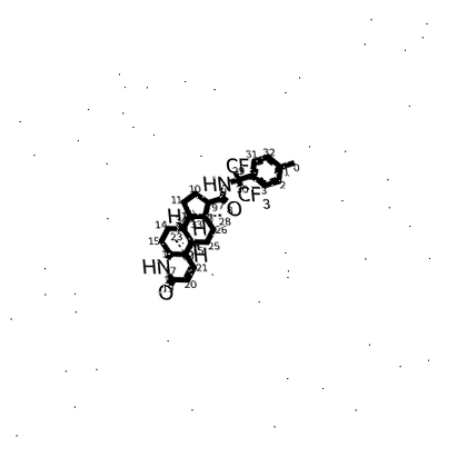 Cc1ccc(C(NC(=O)C2CC[C@H]3[C@@H]4CCC5NC(=O)C=C[C@]5(C)[C@@H]4CC[C@]23C)(C(F)(F)F)C(F)(F)F)cc1